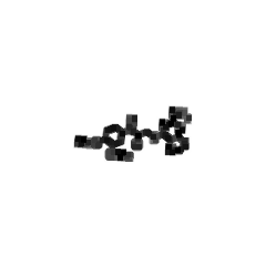 COc1ccc(NC(=O)CSc2nc(N)nc3scnc23)cc1OC